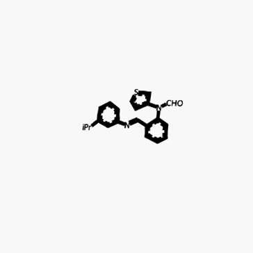 CC(C)c1cccc(/N=C/c2ccccc2N(C=O)c2ccsc2)c1